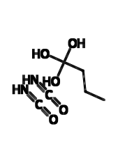 CCCC(O)(O)O.N=C=O.N=C=O